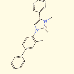 Cc1cc(-c2ccccc2)ccc1N1C=C(c2ccccc2)N(C)[C@@H]1C